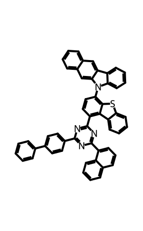 c1ccc(-c2ccc(-c3nc(-c4cccc5ccccc45)nc(-c4ccc(-n5c6ccccc6c6cc7ccccc7cc65)c5sc6ccccc6c45)n3)cc2)cc1